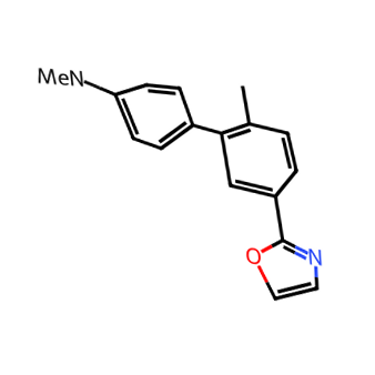 CNc1ccc(-c2cc(-c3ncco3)ccc2C)cc1